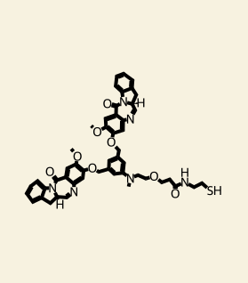 COc1cc2c(cc1OCc1cc(COc3cc4c(cc3OC)C(=O)N3c5ccccc5C[C@H]3C=N4)cc(N(C)CCOCCC(=O)NCCS)c1)N=C[C@@H]1Cc3ccccc3N1C2=O